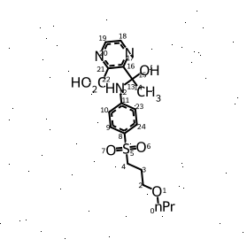 CCCOCCCS(=O)(=O)c1ccc(NC(C)(O)c2nccnc2C(=O)O)cc1